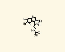 O=C(O)NCCn1c(=O)[nH]c2cnc3cc(F)c(Br)c(F)c3c21